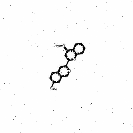 COc1ccc2cc(-c3cc(=NO)c4ccccc4o3)ncc2c1